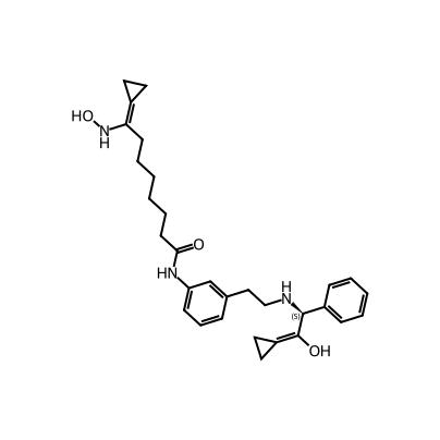 O=C(CCCCCCC(NO)=C1CC1)Nc1cccc(CCN[C@H](C(O)=C2CC2)c2ccccc2)c1